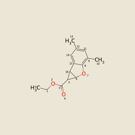 CCOC(=O)C1C2Oc3c(C)cc(C)cc3C21